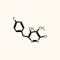 Cc1c(Cl)nnc(Cc2ccc(F)cc2)c1C